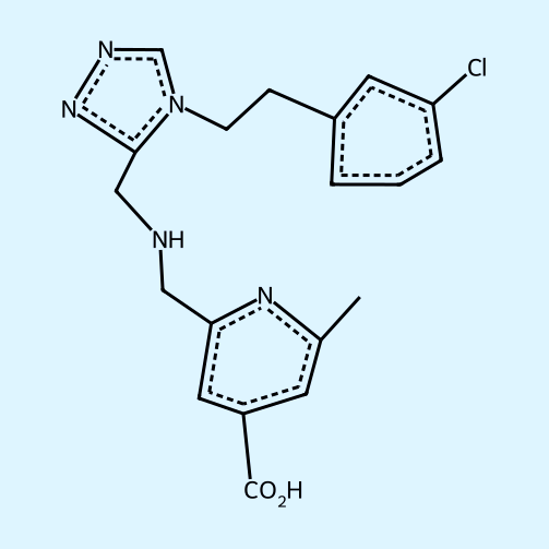 Cc1cc(C(=O)O)cc(CNCc2nncn2CCc2cccc(Cl)c2)n1